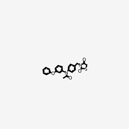 CC(=O)N(c1ccc(CN2C(=O)CSC2=O)cc1)c1cccc(Oc2ccccc2)c1